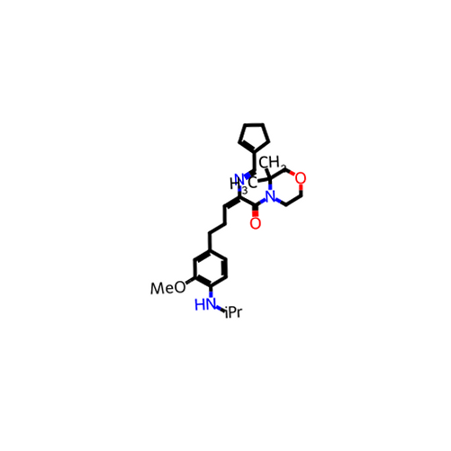 COc1cc(CC/C=C(/N=C/C2=CCCC2)C(=O)N2CCOCC2(C)C)ccc1NC(C)C